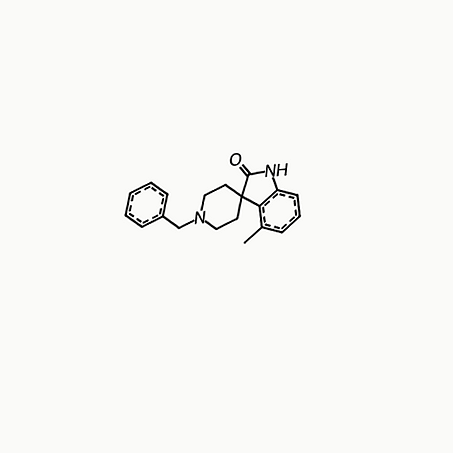 Cc1cccc2c1C1(CCN(Cc3ccccc3)CC1)C(=O)N2